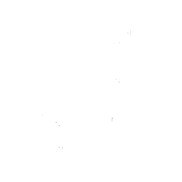 Cn1nccc1CC1(C#N)CN(C(=O)OC(C)(C)C)C1